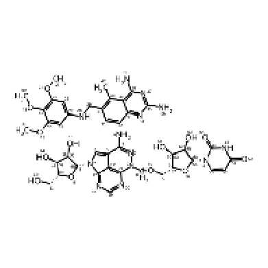 CN1N=C(N)c2cn([C@@H]3O[C@H](CO)[C@@H](O)[C@H]3O)c3ncnc1c23.COc1cc(NCc2ccc3nc(N)nc(N)c3c2C)cc(OC)c1OC.O=c1ccn([C@@H]2O[C@H](CO)[C@@H](O)[C@H]2O)c(=O)[nH]1